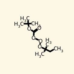 CCC(C)(C)OOOC(=O)OC(C)(C)C